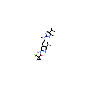 Cc1nc(N(C)CCc2cc(N(C)C(=O)C3(C(F)(F)F)CC3)ncc2C(C)C)ncc1C(C)C